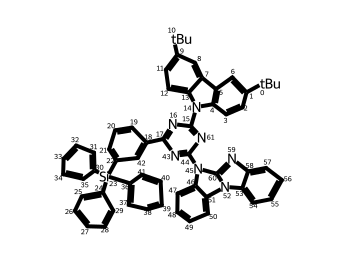 CC(C)(C)c1ccc2c(c1)c1cc(C(C)(C)C)ccc1n2-c1nc(-c2cccc([Si](c3ccccc3)(c3ccccc3)c3ccccc3)c2)nc(-n2c3ccccc3n3c4ccccc4nc23)n1